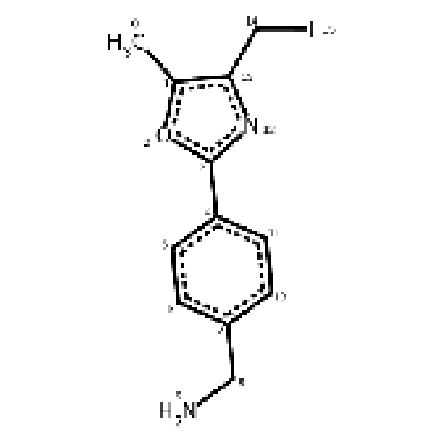 Cc1oc(-c2ccc(CN)cc2)nc1CI